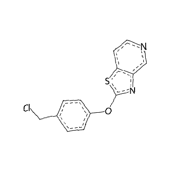 ClCc1ccc(Oc2nc3cnccc3s2)cc1